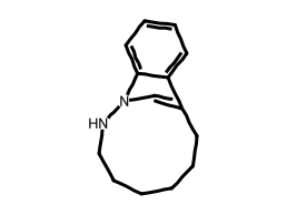 c1ccc2c(c1)c1cn2NCCCCCC1